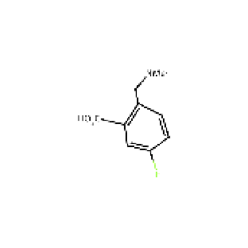 C[N]Cc1ccc(F)cc1C(=O)O